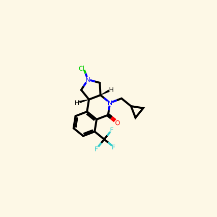 O=C1c2c(cccc2C(F)(F)F)[C@@H]2CN(Cl)C[C@@H]2N1CC1CC1